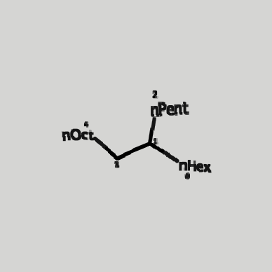 [CH2]CCCCCC(CCCCC)CCCCCCCCC